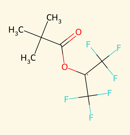 CC(C)(C)C(=O)O[C](C(F)(F)F)C(F)(F)F